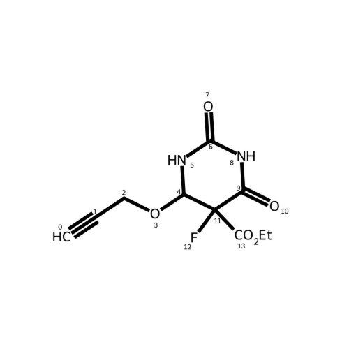 C#CCOC1NC(=O)NC(=O)C1(F)C(=O)OCC